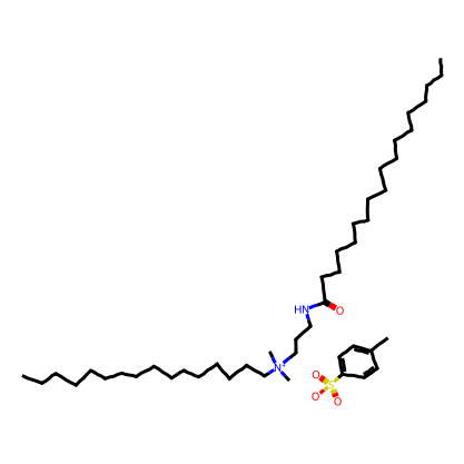 CCCCCCCCCCCCCCCCCC(=O)NCCC[N+](C)(C)CCCCCCCCCCCCCCCC.Cc1ccc(S(=O)(=O)[O-])cc1